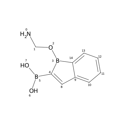 NCOB1C(B(O)O)=Cc2ccccc21